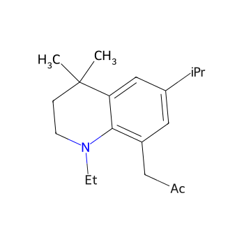 CCN1CCC(C)(C)c2cc(C(C)C)cc(CC(C)=O)c21